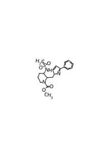 COC(=O)N1CCCC(NS(C)(=O)=O)C1CC1C=CC(c2ccccc2)=N1